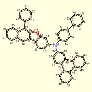 c1ccc(-c2ccc(N(c3ccc4c(c3)oc3c(-c5ccccc5)c5ccccc5cc34)c3ccc4c5ccccc5c5ccccc5c4c3)cc2)cc1